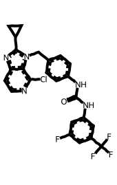 O=C(Nc1ccc(Cn2c(C3CC3)nc3ccnc(Cl)c32)cc1)Nc1cc(F)cc(C(F)(F)F)c1